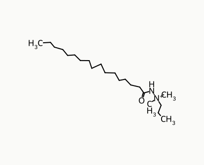 CCCCCCCCCCCCCCCCC(=O)N[N+](C)(C)CCC